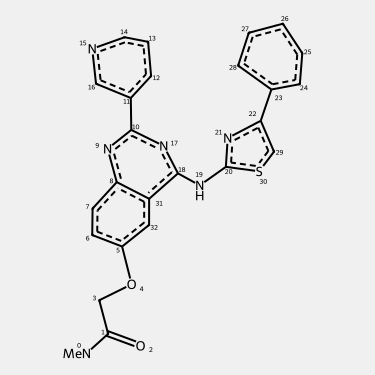 CNC(=O)COc1ccc2nc(-c3cccnc3)nc(Nc3nc(-c4ccccc4)cs3)c2c1